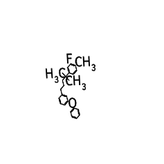 Cc1ccc(C(C)(C)CCCc2cccc(Oc3ccccc3)c2)cc1F